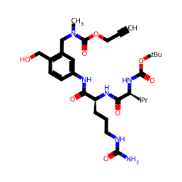 C#CCOC(=O)N(C)Cc1cc(NC(=O)[C@H](CCCNC(N)=O)NC(=O)[C@@H](NC(=O)OC(C)(C)C)C(C)C)ccc1CO